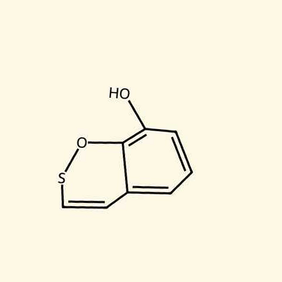 Oc1cccc2c1OSC=C2